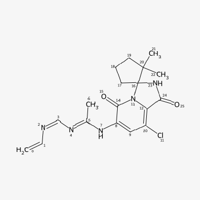 C=C/N=C\N=C(/C)Nc1cc(Cl)c2n(c1=O)C1(CCCC1(C)C)NC2=O